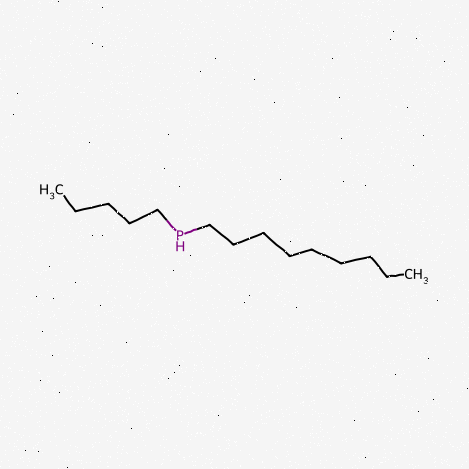 CCCCCCCCCPCCCCC